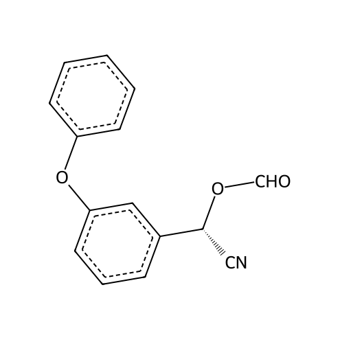 N#C[C@@H](OC=O)c1cccc(Oc2ccccc2)c1